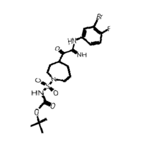 CC(C)(C)OC(=O)NS(=O)(=O)N1CCCC(C(=O)C(=N)Nc2ccc(F)c(Br)c2)CC1